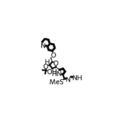 CS/C(=N/C=N)c1ccc([C@@H]2O[C@H](COc3ccc4cccnc4c3)[C@H]3OC(C)(C)O[C@H]32)[nH]1